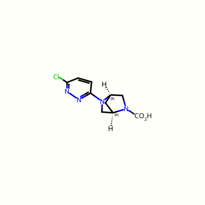 O=C(O)N1C[C@H]2C[C@@H]1CN2c1ccc(Cl)nn1